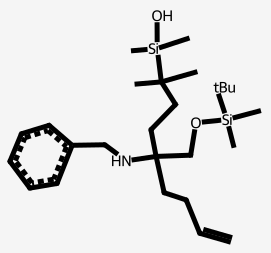 C=CCCC(CCC(C)(C)[Si](C)(C)O)(CO[Si](C)(C)C(C)(C)C)NCc1ccccc1